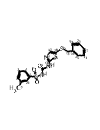 Cc1cccc(S(=O)(=O)NC(=O)Nc2ncc(SCc3ccccc3)s2)c1